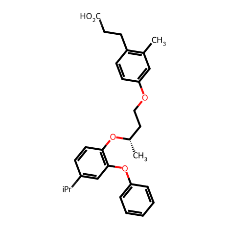 Cc1cc(OCC[C@H](C)Oc2ccc(C(C)C)cc2Oc2ccccc2)ccc1CCC(=O)O